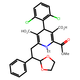 CCN1C(CC(c2ccccc2)C2OCCO2)=C(C(=O)O)C(c2c(Cl)cccc2Cl)C(C(=O)O)=C1C(=O)OC